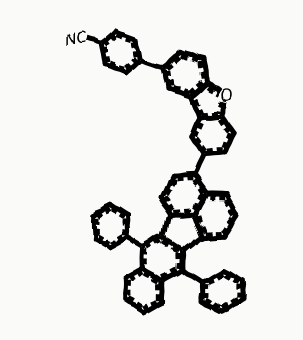 N#Cc1ccc(-c2ccc3oc4ccc(-c5ccc6c7c(cccc57)-c5c-6c(-c6ccccc6)c6ccccc6c5-c5ccccc5)cc4c3c2)cc1